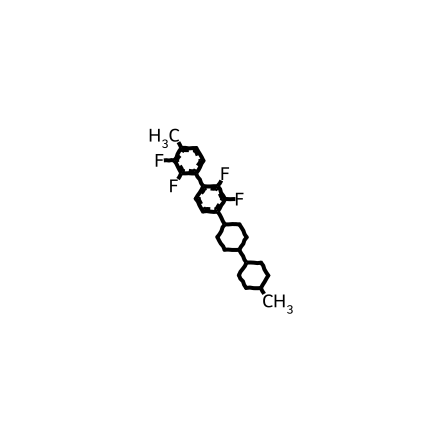 Cc1ccc(-c2ccc(C3CCC(C4CCC(C)CC4)CC3)c(F)c2F)c(F)c1F